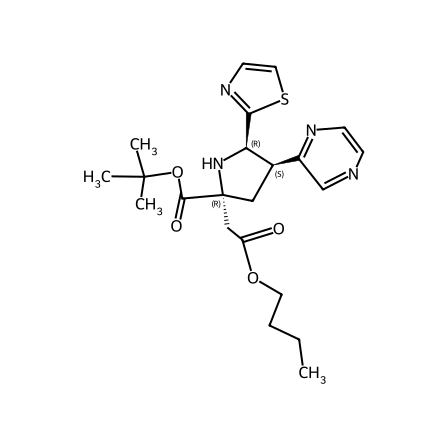 CCCCOC(=O)C[C@@]1(C(=O)OC(C)(C)C)C[C@H](c2cnccn2)[C@H](c2nccs2)N1